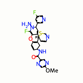 COc1cnc(C(=O)NC2C=CC3=C(C2)[C@@]2(C=CN=CS2)C2=CC(c4cncc(F)c4)N(N)C(F)=C2O3)cn1